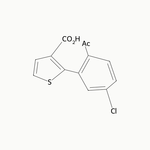 CC(=O)c1ccc(Cl)cc1-c1sccc1C(=O)O